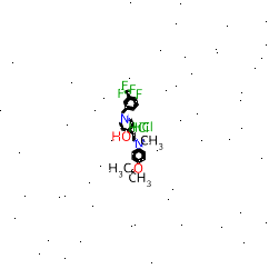 CC(C)Oc1ccc(N(C)CCC2(O)CCN(Cc3ccc(F)c(C(F)(F)F)c3)CC2)cc1.Cl.Cl